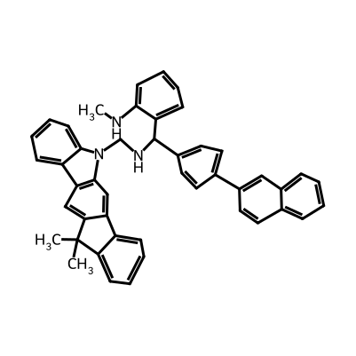 CNc1ccccc1C(NCn1c2ccccc2c2cc3c(cc21)-c1ccccc1C3(C)C)c1ccc(-c2ccc3ccccc3c2)cc1